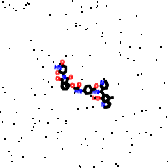 Cc1cc(C(NC(=O)C2CCC(NC(=O)COc3cccc4c3C(=O)N(C3CCC(=O)NC3=O)C4=O)CC2)c2cccnc2)c(O)c2ncccc12